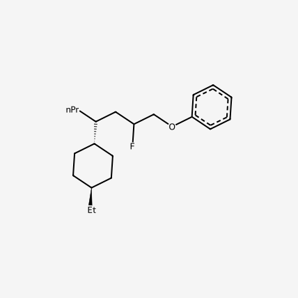 CCCC(CC(F)COc1ccccc1)[C@H]1CC[C@H](CC)CC1